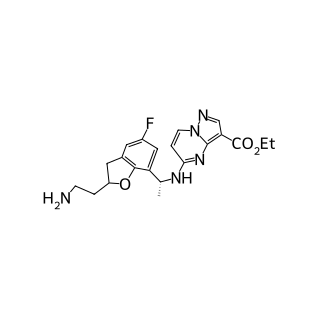 CCOC(=O)c1cnn2ccc(N[C@H](C)c3cc(F)cc4c3OC(CCN)C4)nc12